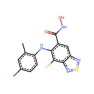 Cc1cc(I)ccc1Nc1c(C(=O)NO)cc2nsnc2c1F